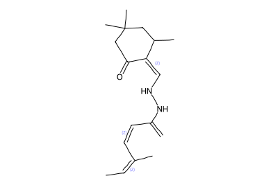 C=C(/C=C\C(C)=C/C)NN/C=C1\C(=O)CC(C)(C)CC1C